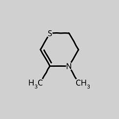 CC1=CSCCN1C